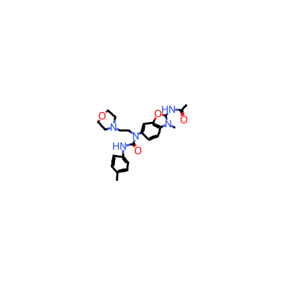 CC(=O)NC1Oc2cc(N(CCN3CCOCC3)C(=O)Nc3ccc(C)cc3)ccc2N1C